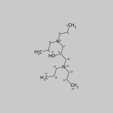 CCCN(CCC)CC(O)CN(CCC)CCC